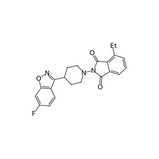 CCc1cccc2c1C(=O)N(N1CCC(c3noc4cc(F)ccc34)CC1)C2=O